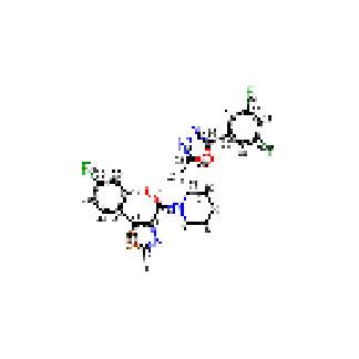 Cc1nc(C(=O)N2CCCC[C@H]2Cc2nnc(-c3cc(F)cc(F)c3)o2)c(-c2ccc(F)cc2)s1